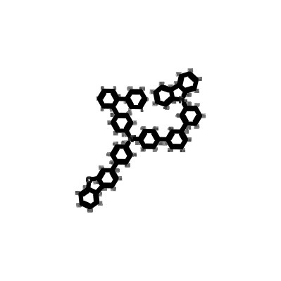 c1ccc(-c2ccccc2-c2ccc(N(c3ccc(-c4cccc(-c5cccc(-n6c7ccccc7c7ccccc76)c5)c4)cc3)c3ccc(-c4ccc5c(c4)oc4ccccc45)cc3)cc2)cc1